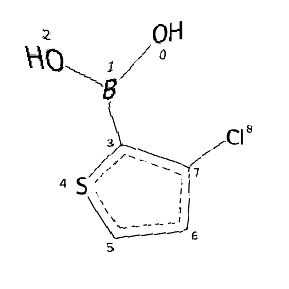 OB(O)c1sccc1Cl